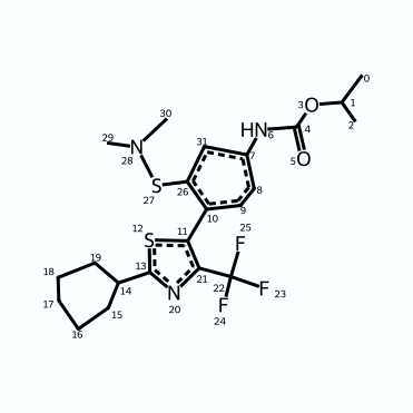 CC(C)OC(=O)Nc1ccc(-c2sc(C3CCCCC3)nc2C(F)(F)F)c(SN(C)C)c1